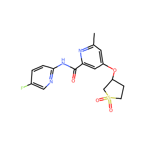 Cc1cc(OC2CCS(=O)(=O)C2)cc(C(=O)Nc2ccc(F)cn2)n1